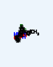 CCc1cccc(CNC[C@@H](O)[C@H](Cc2cc(F)cc(F)c2)NC(=O)c2coc3ccccc23)c1